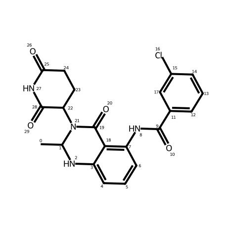 CC1Nc2cccc(NC(=O)c3cccc(Cl)c3)c2C(=O)N1C1CCC(=O)NC1=O